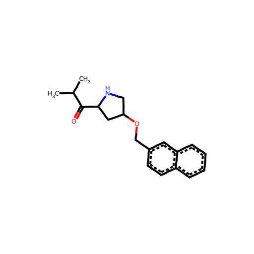 CC(C)C(=O)C1CC(OCc2ccc3ccccc3c2)CN1